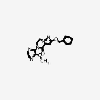 COc1nccnc1N1CCn2nc(OCc3ccccc3)cc2C1=O